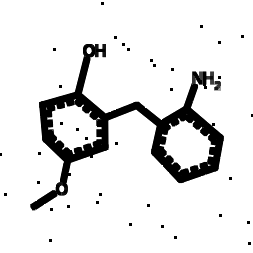 COc1ccc(O)c(Cc2ccccc2N)c1